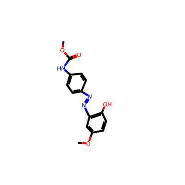 COC(=O)Nc1ccc(N=Nc2cc(OC)ccc2O)cc1